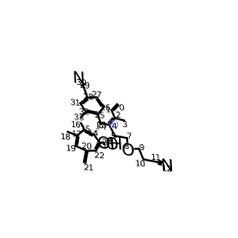 C=C/C(C)=C(/C(=O)COCCC#N)[C@H](C1=C(C)C(C)=CC(=C)C=C1O)c1ccc(C#N)cc1C